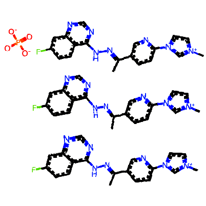 C/C(=N\Nc1ncnc2cc(F)ccc12)c1ccc(-n2cc[n+](C)c2)nc1.C/C(=N\Nc1ncnc2cc(F)ccc12)c1ccc(-n2cc[n+](C)c2)nc1.C/C(=N\Nc1ncnc2cc(F)ccc12)c1ccc(-n2cc[n+](C)c2)nc1.O=P([O-])([O-])[O-]